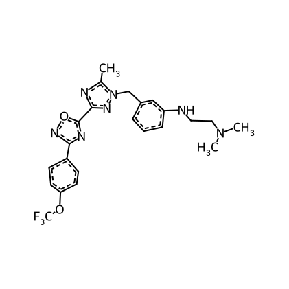 Cc1nc(-c2nc(-c3ccc(OC(F)(F)F)cc3)no2)nn1Cc1cccc(NCCN(C)C)c1